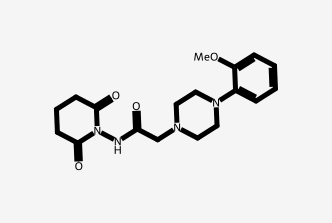 COc1ccccc1N1CCN(CC(=O)NN2C(=O)CCCC2=O)CC1